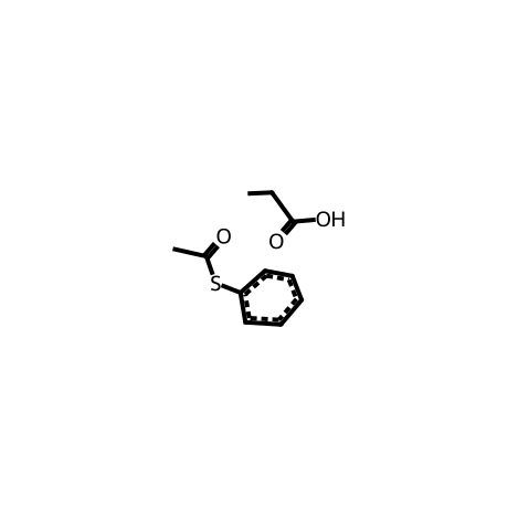 CC(=O)Sc1ccccc1.CCC(=O)O